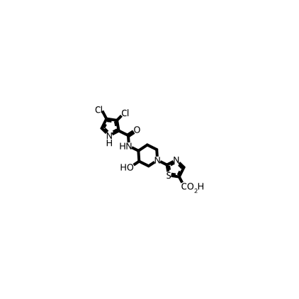 O=C(O)c1cnc(N2CCC(NC(=O)c3[nH]cc(Cl)c3Cl)C(O)C2)s1